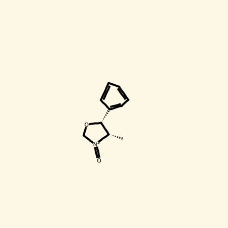 C[C@H]1[C@@H](c2ccccc2)OC[N+]1=O